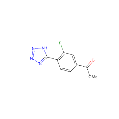 COC(=O)c1ccc(-c2nnn[nH]2)c(F)c1